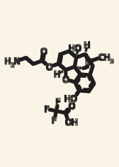 CN1CC[C@]23c4c5ccc(O)c4O[C@H]2C(OC(=O)CCN)=CC[C@@]3(O)[C@H]1C5.O=C(O)C(F)(F)F